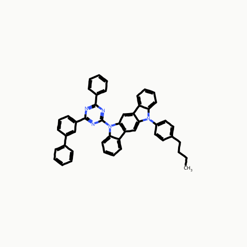 CCCCc1ccc(-n2c3ccccc3c3cc4c(cc32)c2ccccc2n4-c2nc(-c3ccccc3)nc(-c3cccc(-c4ccccc4)c3)n2)cc1